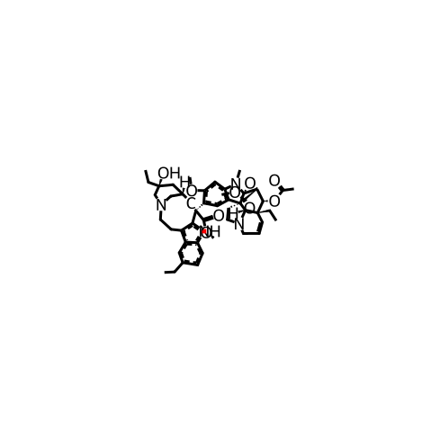 CCc1ccc2[nH]c3c(c2c1)CCN1C[C@H](C[C@@](O)(CC)C1)C[C@]3(C(=O)OC)c1cc2c(cc1OC)N(C)[C@@]13O[C@]1(C(=O)OC)[C@H](OC(C)=O)[C@]1(CC)C=CCN4CC[C@]23[C@@H]41